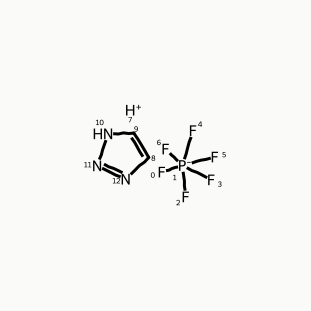 F[P-](F)(F)(F)(F)F.[H+].c1c[nH]nn1